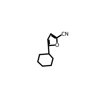 N#Cc1ccc(C2CCCCC2)o1